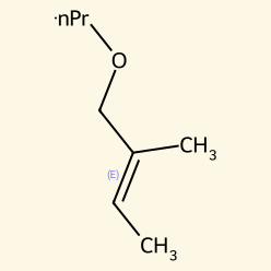 C/C=C(\C)CO[CH]CC